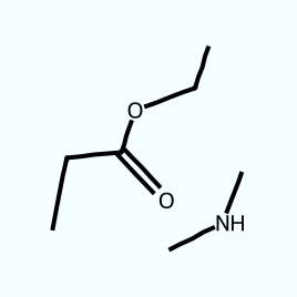 CCOC(=O)CC.CNC